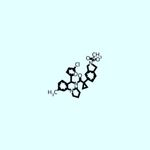 Cc1ccc(C(NC(=O)C2(c3ccc4c(c3)CN(S(C)(=O)=O)C4)CC2)c2ccc(Cl)o2)c(N2CCCC2)c1